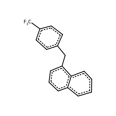 FC(F)(F)c1ccc(Cc2cccc3ccccc23)cc1